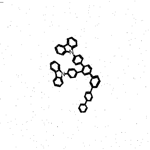 c1ccc(-c2ccc(-c3cccc(-c4ccc(-c5ccc(-n6c7ccccc7c7ccccc76)cc5)c(-c5ccc(-n6c7ccccc7c7ccccc76)cc5)c4)c3)cc2)cc1